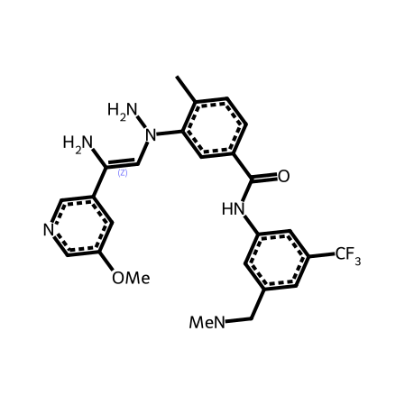 CNCc1cc(NC(=O)c2ccc(C)c(N(N)/C=C(\N)c3cncc(OC)c3)c2)cc(C(F)(F)F)c1